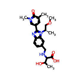 COC[C@H](C)n1c(-c2cc(C)c(=O)n(C)c2)nc2ccc(CNC(C(=O)O)C(C)O)cc21